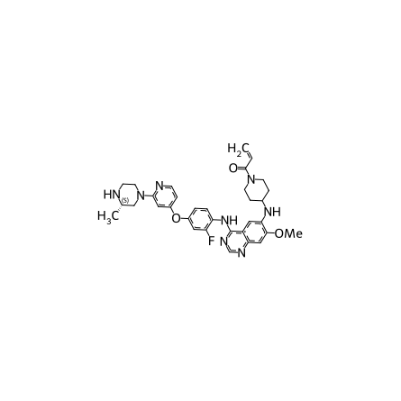 C=CC(=O)N1CCC(Nc2cc3c(Nc4ccc(Oc5ccnc(N6CCN[C@@H](C)C6)c5)cc4F)ncnc3cc2OC)CC1